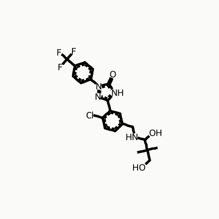 CC(C)(CO)C(O)NCc1ccc(Cl)c(-c2nn(-c3ccc(C(F)(F)F)cc3)c(=O)[nH]2)c1